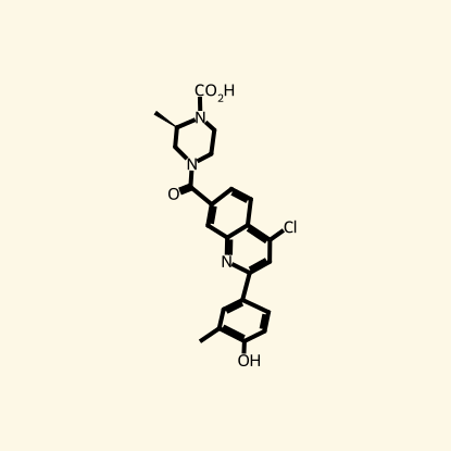 Cc1cc(-c2cc(Cl)c3ccc(C(=O)N4CCN(C(=O)O)[C@H](C)C4)cc3n2)ccc1O